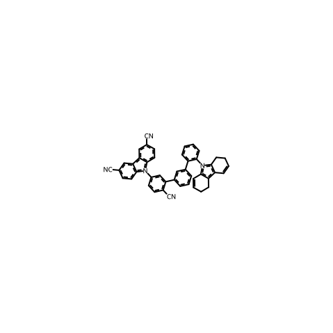 N#Cc1ccc2c(c1)c1cc(C#N)ccc1n2-c1ccc(C#N)c(-c2cccc(-c3ccccc3-n3c4c(c5c3CCC=C5)CCC=C4)c2)c1